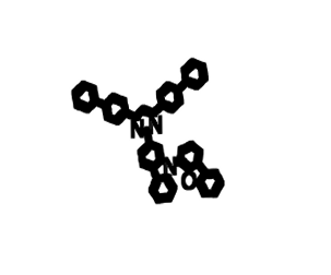 c1ccc(-c2ccc(-c3cc(-c4ccc(-c5ccccc5)cc4)nc(-c4ccc5c6ccccc6n(-c6cccc7c6oc6ccccc67)c5c4)n3)cc2)cc1